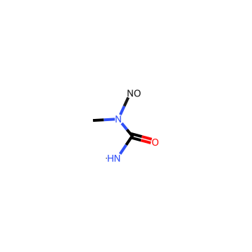 CN(N=O)C([NH])=O